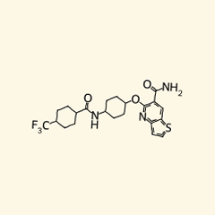 NC(=O)c1cc2sccc2nc1OC1CCC(NC(=O)C2CCC(C(F)(F)F)CC2)CC1